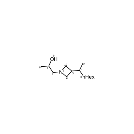 CCCCCCC(C)C1CN(C[C@@H](C)O)C1